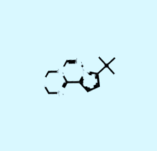 CC(C)(C)c1ccc2n1N=CN1COCN=C21